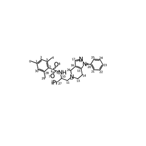 Cc1cc(C)c(S(=O)(=O)NC(CN2CCc3c(cnn3-c3ccccc3)C2)C(C)C)c(C)c1